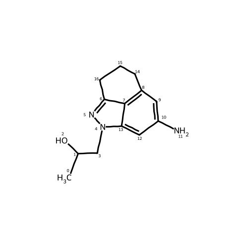 CC(O)Cn1nc2c3c(cc(N)cc31)CCC2